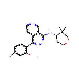 Cc1ccc(-c2nnc(NC3CCOCC3(C)C)c3cnccc23)c(O)c1